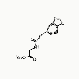 COC(=O)CNC(=O)/C=C/c1ccc2c(c1)OCO2